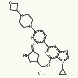 C[C@@H](Oc1nc(-c2ccc(N3CCN(C4COC4)CC3)nc2)cc2ncn(C3CC3)c12)[C@H]1CNC(=O)C1